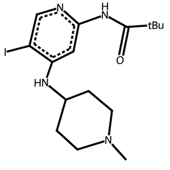 CN1CCC(Nc2cc(NC(=O)C(C)(C)C)ncc2I)CC1